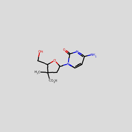 CC1(C(=O)O)CC(n2ccc(N)nc2=O)OC1CO